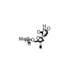 C#C[C@H]1CC(n2ccc(=O)[nH]c2=O)OC1CO[PH](=O)OC